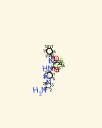 N[C@@H]1CCN(c2ccc(NC(=O)c3nc(-c4ccccc4)oc3C(F)(F)F)cn2)C1